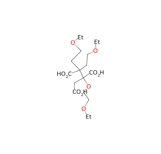 CCOCCOC(CC(=O)O)(C(=O)O)C(CCOCC)(CCOCC)C(=O)O